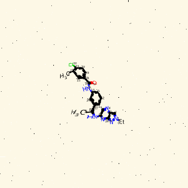 CCn1cc2ncc(N[C@@H](C)c3cccc(NC(=O)c4ccc(Cl)c(C)c4)c3)nc2n1